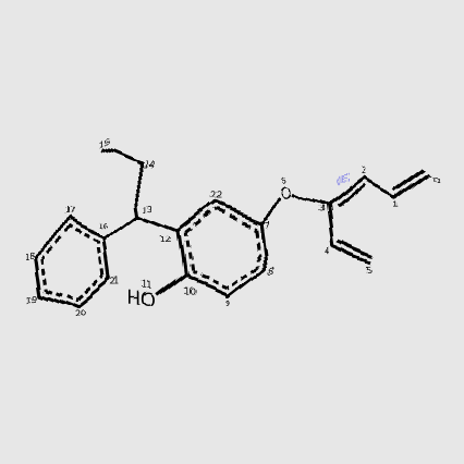 C=C/C=C(\C=C)Oc1ccc(O)c(C(CC)c2ccccc2)c1